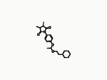 CC(OCCC1CCCCC1)Oc1ccc(N2C(=O)C(C)C(C)C2=O)cc1